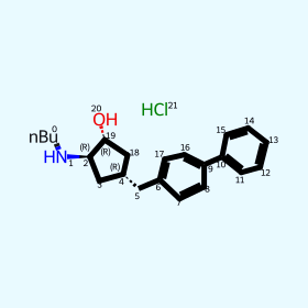 CCCCN[C@@H]1C[C@@H](Cc2ccc(-c3ccccc3)cc2)C[C@H]1O.Cl